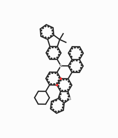 CC1(C)c2ccccc2-c2ccc(N(c3ccc(C4CCCCC4)cc3)c3c(-c4ccc5c(c4)sc4ccccc45)ccc4ccccc34)cc21